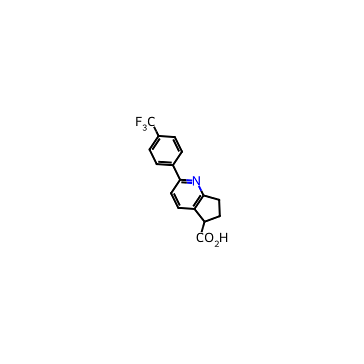 O=C(O)C1CCc2nc(-c3ccc(C(F)(F)F)cc3)ccc21